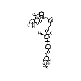 CC(C)(c1ccc(OCc2cnc(NS(C)(=O)=O)nc2)cc1)c1cc(Cl)c(OCCCn2cc(CNc3cccc4c3C(=O)N(C3CCC(=O)NC3=O)C4=O)nn2)c(C#N)c1